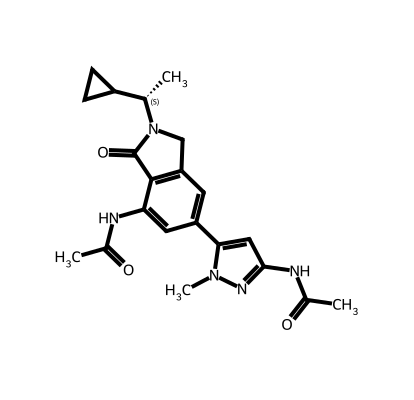 CC(=O)Nc1cc(-c2cc3c(c(NC(C)=O)c2)C(=O)N([C@@H](C)C2CC2)C3)n(C)n1